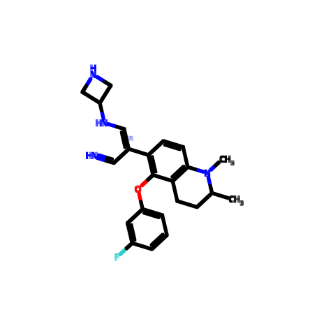 CC1CCc2c(ccc(/C(C=N)=C/NC3CNC3)c2Oc2cccc(F)c2)N1C